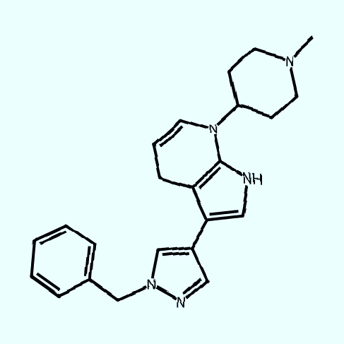 CN1CCC(N2C=CCc3c(-c4cnn(Cc5ccccc5)c4)c[nH]c32)CC1